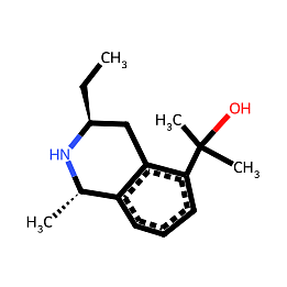 CC[C@H]1Cc2c(cccc2C(C)(C)O)[C@H](C)N1